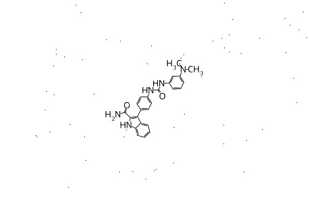 CN(C)c1cccc(NC(=O)Nc2ccc(-c3c(C(N)=O)[nH]c4ccccc34)cc2)c1